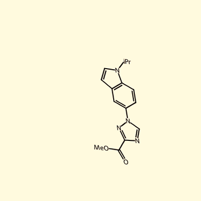 COC(=O)c1ncn(-c2ccc3c(ccn3C(C)C)c2)n1